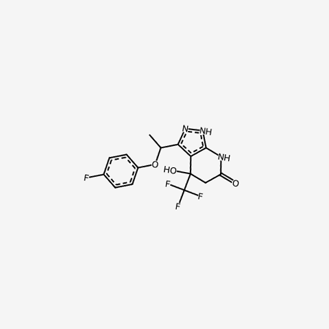 CC(Oc1ccc(F)cc1)c1n[nH]c2c1C(O)(C(F)(F)F)CC(=O)N2